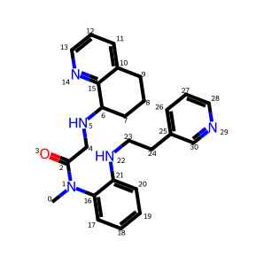 CN(C(=O)CNC1CCCc2cccnc21)c1ccccc1NCCc1cccnc1